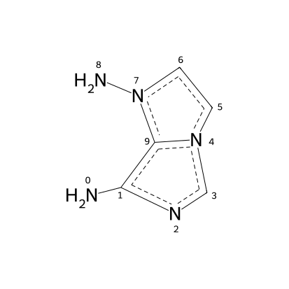 Nc1ncn2ccn(N)c12